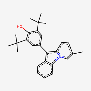 Cc1ccc2c(-c3cc(C(C)(C)C)c(O)c(C(C)(C)C)c3)c3ccccc3n2c1